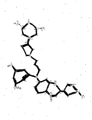 COc1cc(OC)cc(N(CCCN2CCC(N3C[C@@H](C)O[C@@H](C)C3)C2)C2CCC3NCC(c4cnn(C)c4)NC3C2)c1